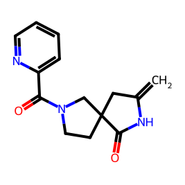 C=C1CC2(CCN(C(=O)c3ccccn3)C2)C(=O)N1